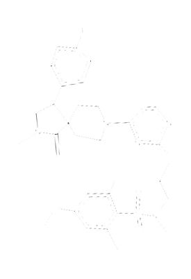 COc1cc(C)c(S(=O)(=O)N(C)CCOc2nccc(N3CCC4(CC3)C(=O)N(C)CC4c3ccc(F)cc3)n2)c(C)c1